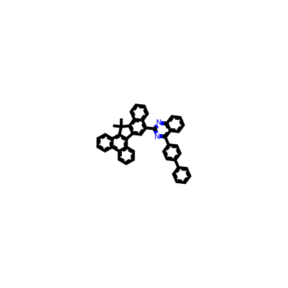 CC1(C)c2c(cc(-c3nc(-c4ccc(-c5ccccc5)cc4)c4ccccc4n3)c3ccccc23)-c2c1c1ccccc1c1ccccc21